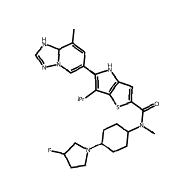 CC1=CC(c2[nH]c3cc(C(=O)N(C)C4CCC(N5CCC(F)C5)CC4)sc3c2C(C)C)=CN2N=CNC12